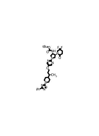 CC(C)c1noc(N2CCC([C@H](C)CCOc3cnc(N4C[C@H](NC(=O)OC(C)(C)C)[C@@H](N5CC(F)(F)CCC5=O)C4)nc3)CC2)n1